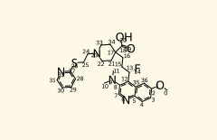 COc1ccc2ncc(N(C)C)c([C@@H](F)CCC3(C(=O)O)CCN(CCSc4ccccn4)CC3)c2c1